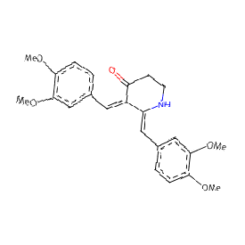 COc1ccc(C=C2NCCC(=O)C2=Cc2ccc(OC)c(OC)c2)cc1OC